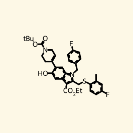 CCOC(=O)c1c(CSc2ccc(F)cc2C)n(Cc2ccc(F)cc2)c2cc(C3=CCN(C(=O)OC(C)(C)C)CC3)c(O)cc12